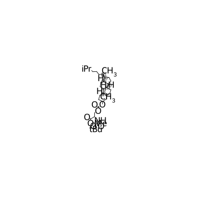 COC(=O)C(COC(=O)OC1CC[C@@]2(C)C(=CC[C@H]3[C@@H]4CC[C@H]([C@H](C)CCCC(C)C)[C@H]4CC[C@@H]32)C1)NC(=O)OC(C)(C)C